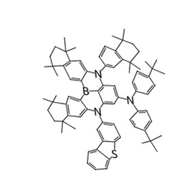 CC(C)(C)c1ccc(N(c2ccc(C(C)(C)C)cc2)c2cc3c4c(c2)N(c2ccc5sc6ccccc6c5c2)c2cc5c(cc2B4c2cc4c(cc2N3c2ccc3c(c2)C(C)(C)CCC3(C)C)C(C)(C)CCC4(C)C)C(C)(C)CCC5(C)C)cc1